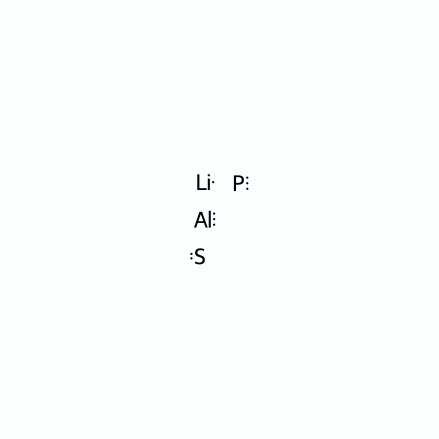 [Al].[Li].[P].[S]